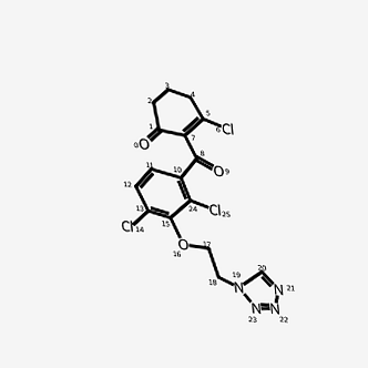 O=C1CCCC(Cl)=C1C(=O)c1ccc(Cl)c(OCCn2cnnn2)c1Cl